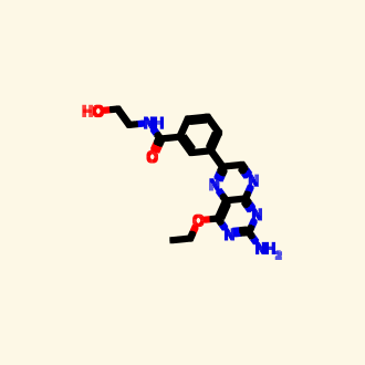 CCOc1nc(N)nc2ncc(-c3cccc(C(=O)NCCO)c3)nc12